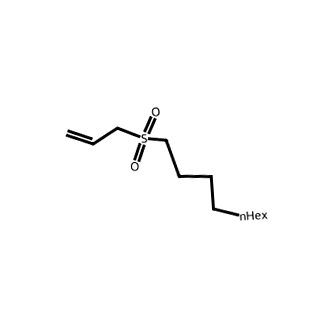 C=CCS(=O)(=O)CCCCC[CH]CCCC